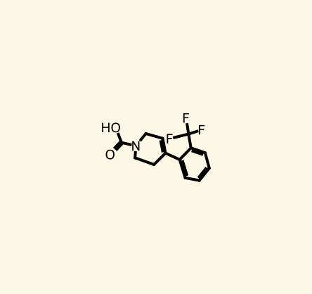 O=C(O)N1CC=C(c2ccccc2C(F)(F)F)CC1